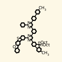 CCCCCCCCC1(CCCCCCCC)c2cc(C)ccc2-c2ccc(-c3cc(-c4cccc(-c5cc(-c6ccc(-c7ccc(C)cc7)cc6)nc(-c6ccccc6)n5)c4)nc(-c4ccc5sc6cc7oc8ccccc8c7cc6c5c4)n3)cc21